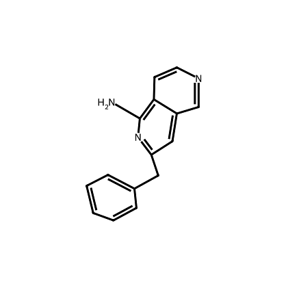 Nc1nc(Cc2ccccc2)cc2cnccc12